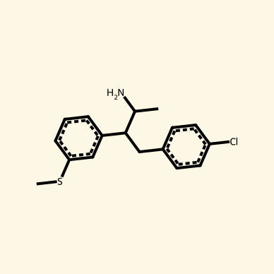 CSc1cccc(C(Cc2ccc(Cl)cc2)C(C)N)c1